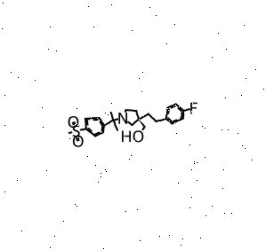 CC(C)(c1ccc(S(C)(=O)=O)cc1)N1CC[C@](CO)(CCc2ccc(F)cc2)C1